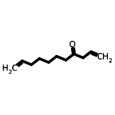 C=CCCCCCC(=O)CC=C